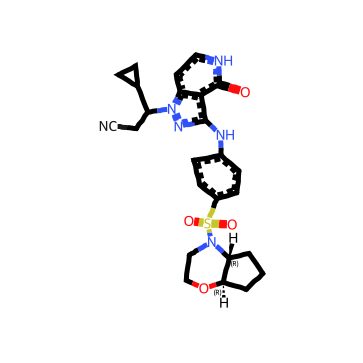 N#CCC(C1CC1)n1nc(Nc2ccc(S(=O)(=O)N3CCO[C@@H]4CCC[C@H]43)cc2)c2c(=O)[nH]ccc21